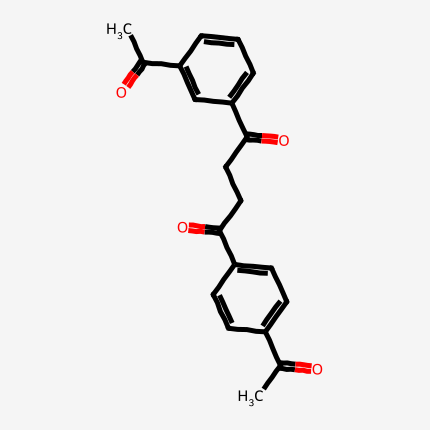 CC(=O)c1ccc(C(=O)CCC(=O)c2cccc(C(C)=O)c2)cc1